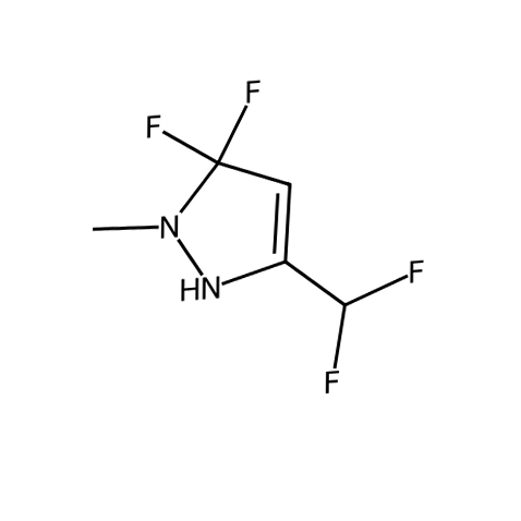 CN1NC(C(F)F)=CC1(F)F